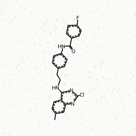 Cc1ccc2c(NCCc3ccc(NC(=O)c4ccc(F)cc4)cc3)nc(Cl)nc2c1